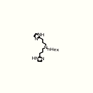 CCCCCCN(CCCc1ncc[nH]1)CCCc1ncc[nH]1